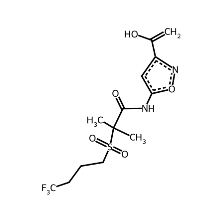 C=C(O)c1cc(NC(=O)C(C)(C)S(=O)(=O)CCCC(F)(F)F)on1